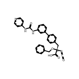 O=C=N[C@@](Cc1ccc(-c2cccc(NC(=O)Nc3ccncc3)c2)cc1)(OCc1ccccc1)C(=O)O